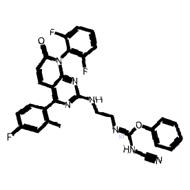 Cc1cc(F)ccc1-c1nc(NCC/N=C(/NC#N)Oc2ccccc2)nc2c1ccc(=O)n2-c1c(F)cccc1F